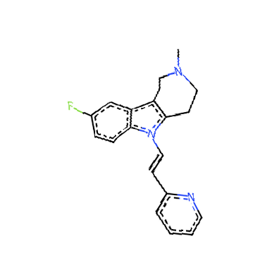 CN1CCc2c(c3cc(F)ccc3n2/C=C/c2ccccn2)C1